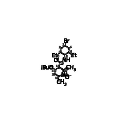 CCc1cc(Br)cc(CC)c1NC(=O)c1c(OCC(C)C)cc(C)[n+]([O-])c1C